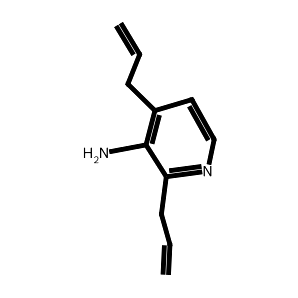 C=CCc1ccnc(CC=C)c1N